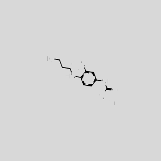 CC(C)(C)OC(=O)Nc1ccc(NCCCO)c([N+](=O)[O-])c1